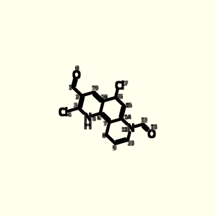 O=CC1=C(Cl)NC2=C3CC=CN(C=O)C3=CC(Cl)C2=C1